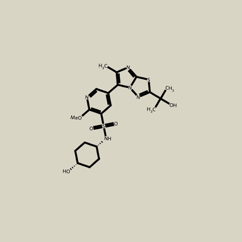 COc1ncc(-c2c(C)nc3sc(C(C)(C)O)nn23)cc1S(=O)(=O)N[C@H]1CC[C@@H](O)CC1